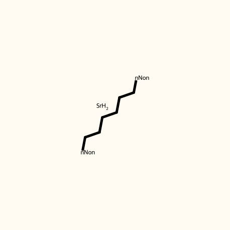 CCCCCCCCCCCCCCCCCCCCCCCC.[SrH2]